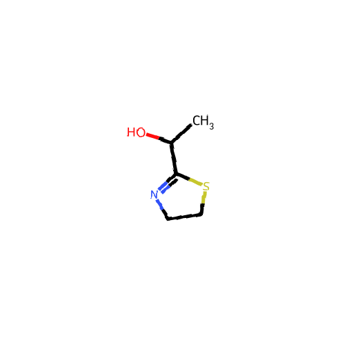 CC(O)C1=NCCS1